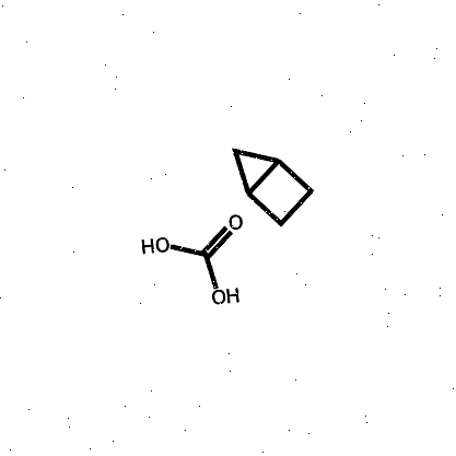 C1CC2CC12.O=C(O)O